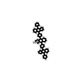 C1=c2c(-c3ccc(-c4c5ccccc5c(-c5ccccc5)c5ccccc45)cc3)c3ccccc3c(-c3ccc(-c4c5ccccc5c(-c5ccccc5)c5ccccc45)cc3)c2=CNC1